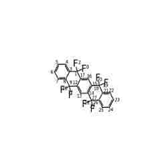 FC1(F)c2ccccc2C(F)(F)c2cc3c(cc21)C(F)(F)c1ccccc1C3(F)F